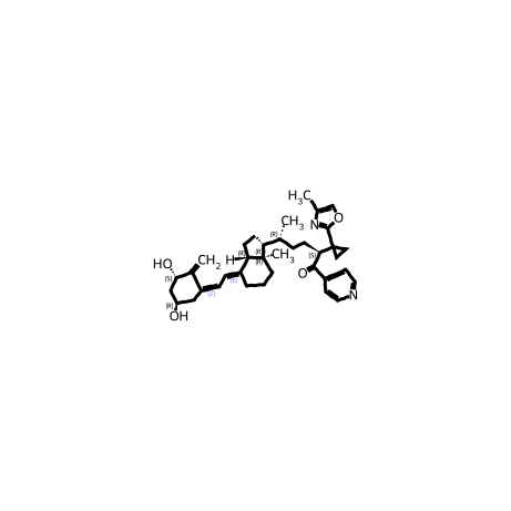 C=C1/C(=C\C=C2/CCC[C@]3(C)[C@@H]([C@H](C)CC[C@H](C(=O)c4ccncc4)C4(c5nc(C)co5)CC4)CC[C@@H]23)C[C@@H](O)C[C@@H]1O